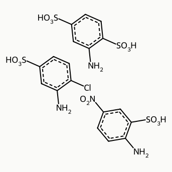 Nc1cc(S(=O)(=O)O)ccc1Cl.Nc1cc(S(=O)(=O)O)ccc1S(=O)(=O)O.Nc1ccc([N+](=O)[O-])cc1S(=O)(=O)O